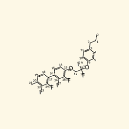 CCCc1ccc(OC(F)(F)COc2ccc(-c3ccc(C)c(F)c3F)c(F)c2F)cc1